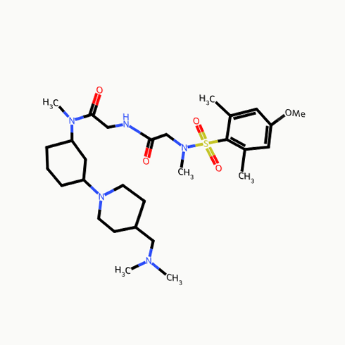 COc1cc(C)c(S(=O)(=O)N(C)CC(=O)NCC(=O)N(C)C2CCCC(N3CCC(CN(C)C)CC3)C2)c(C)c1